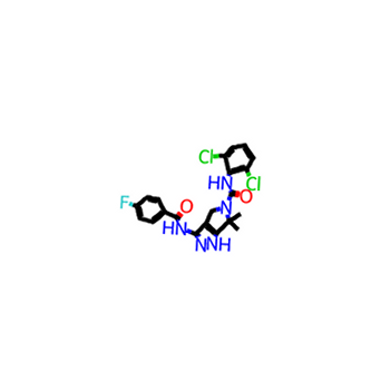 CC1(C)c2[nH]nc(NC(=O)c3ccc(F)cc3)c2CN1C(=O)Nc1c(Cl)cccc1Cl